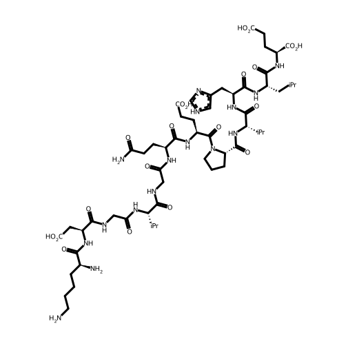 CC(C)C[C@H](NC(=O)[C@H](Cc1c[nH]cn1)NC(=O)[C@@H](NC(=O)[C@@H]1CCCN1C(=O)[C@H](CCC(=O)O)NC(=O)[C@H](CCC(N)=O)NC(=O)CNC(=O)[C@@H](NC(=O)CNC(=O)[C@H](CC(=O)O)NC(=O)[C@@H](N)CCCCN)C(C)C)C(C)C)C(=O)N[C@@H](CCC(=O)O)C(=O)O